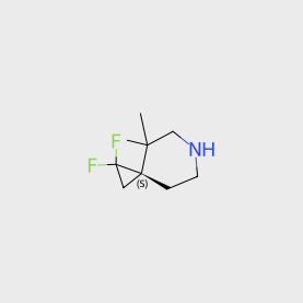 CC1(C)CNCC[C@]12CC2(F)F